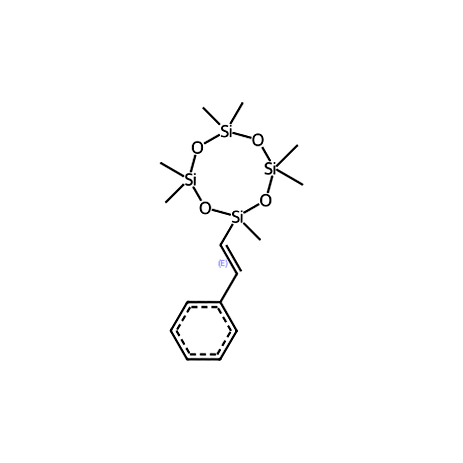 C[Si]1(C)O[Si](C)(C)O[Si](C)(/C=C/c2ccccc2)O[Si](C)(C)O1